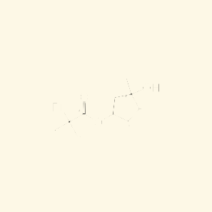 CCC(C)(C)C(=O)OC1CCC(C)(O)C1